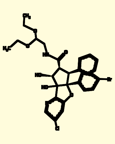 CCOC(CNC(=O)[C@H]1[C@@H](O)C2(O)c3ncc(Cl)cc3O[C@@]2(c2ccc(Br)cc2)[C@@H]1c1ccccc1)OCC